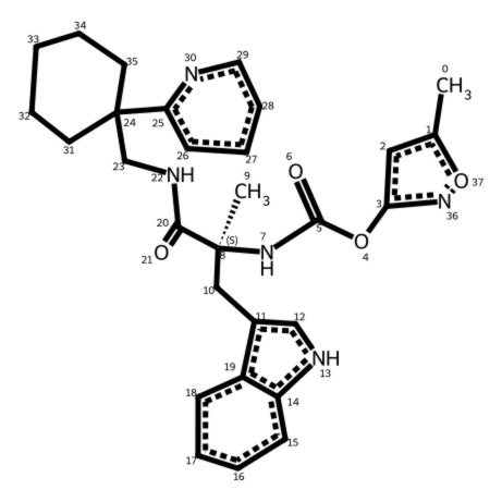 Cc1cc(OC(=O)N[C@@](C)(Cc2c[nH]c3ccccc23)C(=O)NCC2(c3ccccn3)CCCCC2)no1